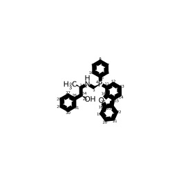 C[C@H](NC[P@@](c1ccccc1)c1cccc2c1oc1ccccc12)[C@H](O)c1ccccc1